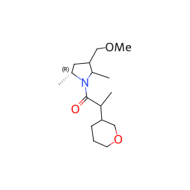 COCC1C[C@@H](C)N(C(=O)C(C)C2CCCOC2)C1C